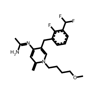 C=C1C=C(/N=C(/C)N)C(Cc2cccc(C(F)F)c2F)=CN1CCCCOC